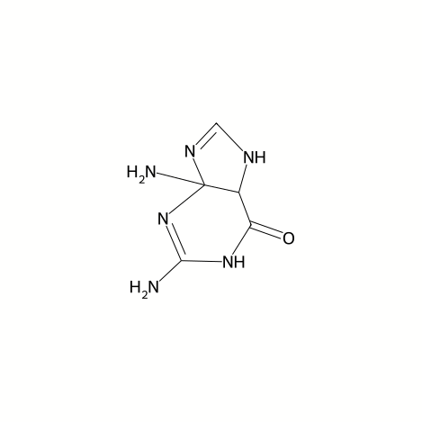 NC1=NC2(N)N=CNC2C(=O)N1